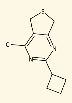 Clc1nc(C2CCC2)nc2c1CSC2